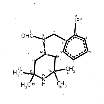 CC(C)c1ccccc1CN(C=O)C1CC(C)(C)NC(C)(C)C1